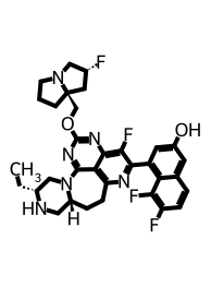 CC[C@@H]1CN2c3nc(OC[C@@]45CCCN4C[C@H](F)C5)nc4c(F)c(-c5cc(O)cc6ccc(F)c(F)c56)nc(c34)CC[C@@H]2CN1